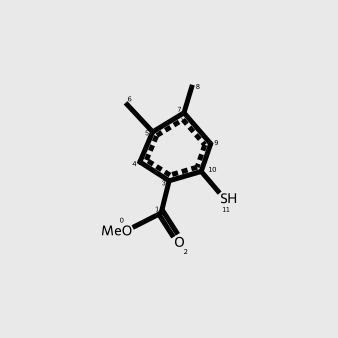 COC(=O)c1cc(C)c(C)cc1S